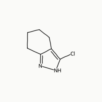 Clc1[nH]nc2c1CCCC2